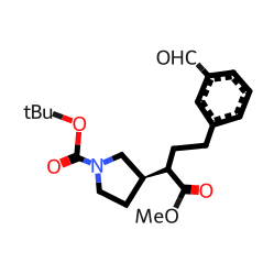 COC(=O)C(CCc1cccc(C=O)c1)[C@H]1CCN(C(=O)OC(C)(C)C)C1